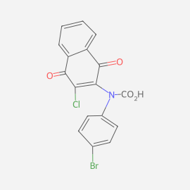 O=C1C(Cl)=C(N(C(=O)O)c2ccc(Br)cc2)C(=O)c2ccccc21